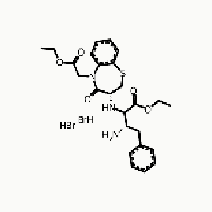 Br.Br.CCOC(=O)CN1C(=O)[C@@H](NC(C(=O)OCC)[C@@H](N)Cc2ccccc2)CSc2ccccc21